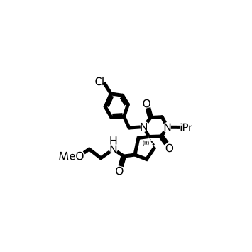 COCCNC(=O)C1CC[C@@]2(C1)C(=O)N(C(C)C)CC(=O)N2Cc1ccc(Cl)cc1